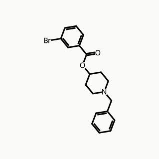 O=C(OC1CCN(Cc2ccccc2)CC1)c1cccc(Br)c1